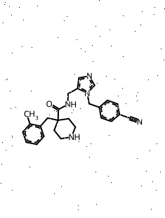 Cc1ccccc1CC1(C(=O)NCc2cncn2Cc2ccc(C#N)cc2)CCNCC1